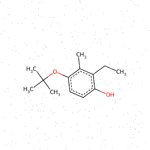 CCc1c(O)ccc(OC(C)(C)C)c1C